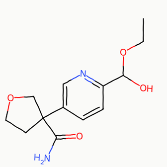 CCOC(O)c1ccc(C2(C(N)=O)CCOC2)cn1